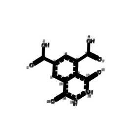 O=C(O)c1cc(C(=O)O)c2c(=O)[nH][nH]c(=O)c2c1